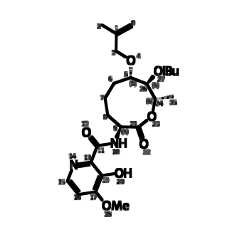 C=C(C)CO[C@H]1CCC[C@H](NC(=O)c2nccc(OC)c2O)C(=O)O[C@@H](C)[C@@H]1OCC(C)C